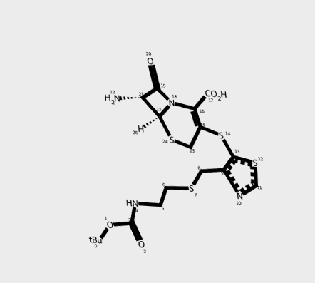 CC(C)(C)OC(=O)NCCSCc1ncsc1SC1=C(C(=O)O)N2C(=O)[C@@H](N)[C@@H]2SC1